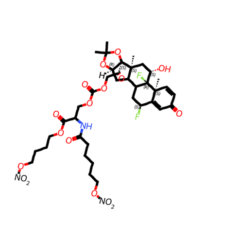 CC1(C)O[C@@H]2CC3C4C[C@H](F)C5=CC(=O)C=C[C@]5(C)[C@@]4(F)[C@@H](O)C[C@]3(C)[C@]2(C(=O)COC(=O)OCC(NC(=O)CCCCCO[N+](=O)[O-])C(=O)OCCCCO[N+](=O)[O-])O1